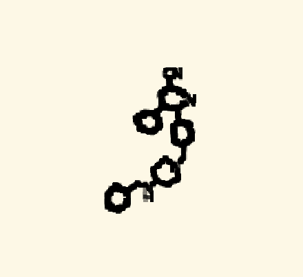 N#Cc1cnc(-c2ccc(CN3CCC(NCc4ccccc4)CC3)cc2)c(-c2ccccc2)c1